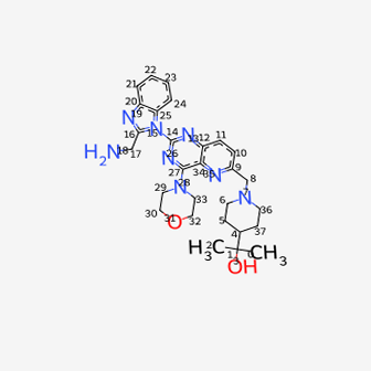 CC(C)(O)C1CCN(Cc2ccc3nc(-n4c(CN)nc5ccccc54)nc(N4CCOCC4)c3n2)CC1